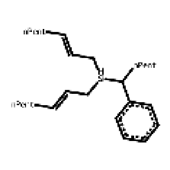 CCCCCC=CC[SiH](CC=CCCCCC)C(CCCCC)c1ccccc1